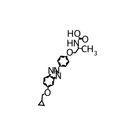 C[C@@H](COc1ccc(-n2nc3ccc(OCC4CC4)cc3n2)cc1)NC(=O)O